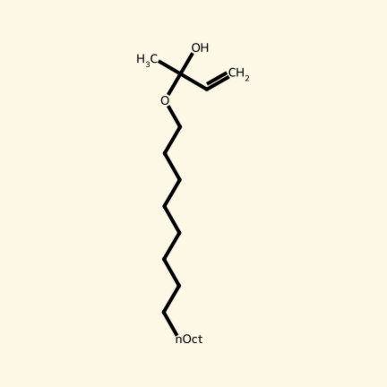 C=CC(C)(O)OCCCCCCCCCCCCCCCC